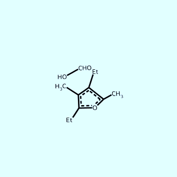 CCc1oc(C)c(CC)c1C.O=CO